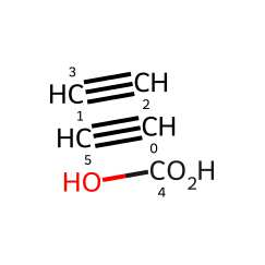 C#C.C#C.O=C(O)O